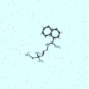 C[C@@H](NC/C=C/C(C)(C)CO)c1cccc2ccccc12